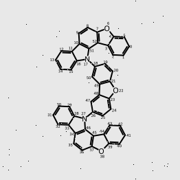 c1ccc2c(c1)oc1ccc3c4ccccc4n(-c4ccc5oc6ccc(-n7c8ccccc8c8ccc9oc%10ccccc%10c9c87)cc6c5c4)c3c12